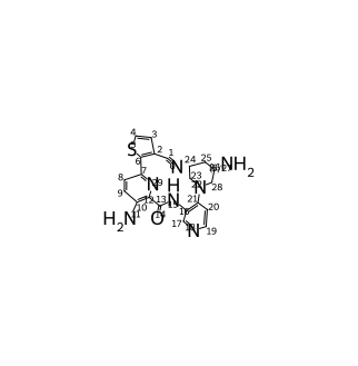 N#Cc1ccsc1-c1ccc(N)c(C(=O)Nc2cnccc2N2CCC[C@H](N)C2)n1